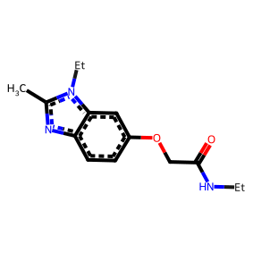 CCNC(=O)COc1ccc2nc(C)n(CC)c2c1